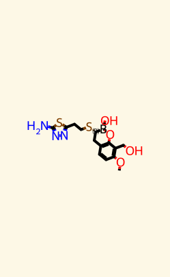 COc1ccc2c(c1CO)OB(O)[C@@H](SCCc1nnc(N)s1)C2